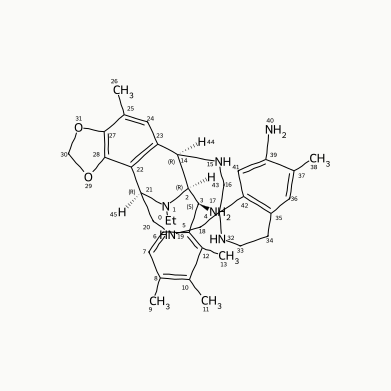 CCN1[C@H]([C@@H](N)c2ccc(C)c(C)c2C)[C@@H]2NCC3(CNC[C@H]1c1c2cc(C)c2c1OCO2)NCCc1cc(C)c(N)cc13